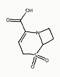 O=C(O)C1=CCS(=O)(=O)C2CCN12